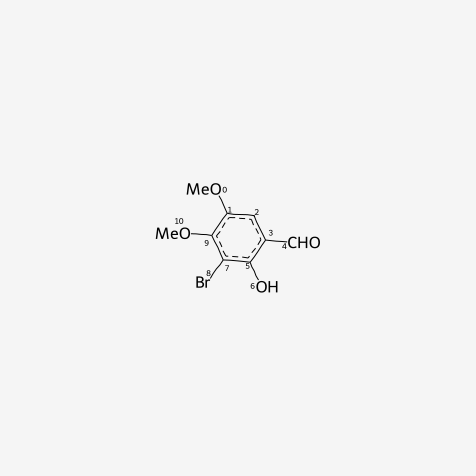 COc1cc(C=O)c(O)c(Br)c1OC